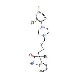 CCC1(CCCCN2CCN(c3ccc(F)cc3Cl)CC2)C(=O)Nc2ccccc21